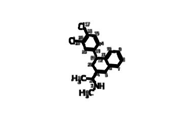 CNC(C)C1=Cc2ccccc2[C@H](c2ccc(Cl)c(Cl)c2)C1